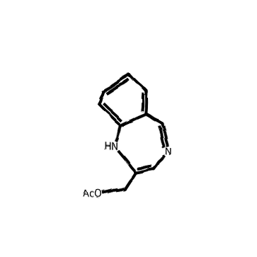 CC(=O)OCC1=CN=Cc2ccccc2N1